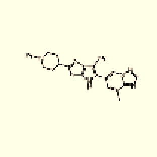 Cc1cc(-c2[nH]c3sc(C4CCN(C(C)C)CC4)nc3c2C(C)C)cn2ncnc12